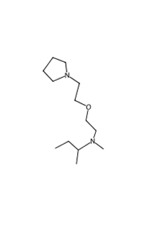 CCC(C)N(C)CCOCCN1CCCC1